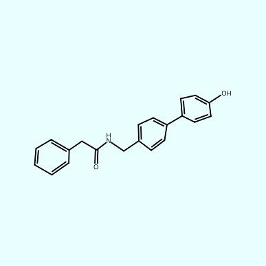 O=C(Cc1ccccc1)NCc1ccc(-c2ccc(O)cc2)cc1